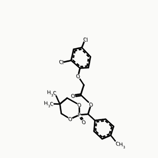 Cc1ccc(C(OC(=O)COc2ccc(Cl)cc2Cl)P2(=O)OCC(C)(C)CO2)cc1